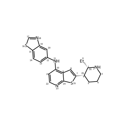 CC[C@@H]1NCCC[C@@H]1c1cc2c(Nc3ccc4scnc4c3)ccnc2s1